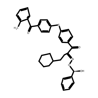 Cc1ccccc1C(=O)c1ccc(Sc2ccc(C(=O)/C(CCC3CCCCC3)=N/O[C@@H](O)c3ccccc3)cc2)cc1